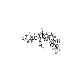 Bc1c(OCc2ccc(F)cc2F)cc(C)n(Cc2ccc(NC(=O)OC(C)(C)C)cc2)c1=O